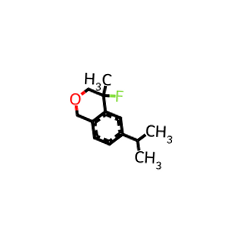 CC(C)c1ccc2c(c1)C(C)(F)COC2